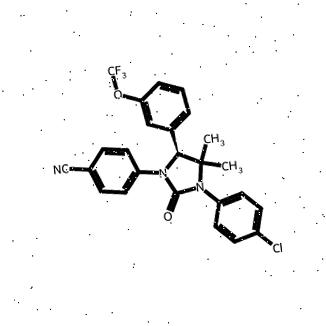 CC1(C)[C@H](c2cccc(OC(F)(F)F)c2)N(c2ccc(C#N)cc2)C(=O)N1c1ccc(Cl)cc1